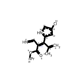 C=C(C)/C(=C(/C=N)C(=O)OCCC)c1cc(Cl)c[nH]1